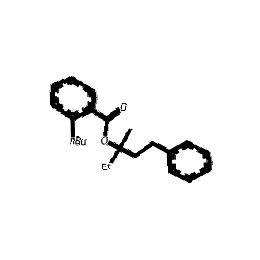 CCCCc1ccccc1C(=O)OC(C)(CC)CCc1ccccc1